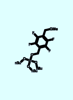 CCCC[O][Zr]([O]CCCC)([O]CCCC)[O]Cc1c(F)c(F)c(COC)c(F)c1F